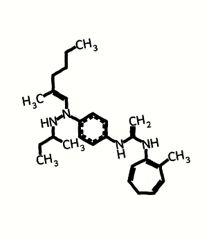 C=C(NC1=C(C)C=CCC=C1)Nc1ccc(N(/C=C(\C)CCCC)NC(C)CC)cc1